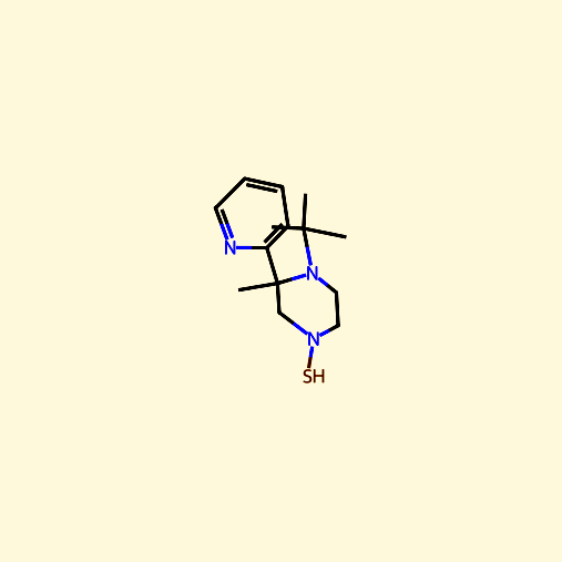 CC(C)(C)N1CCN(S)CC1(C)c1ccccn1